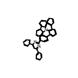 c1ccc(-c2cc(-c3ccccc3)nc(-c3ccc(-c4cccc(-c5ccccc5)c4-n4c5ccccc5c5ccccc54)cc3)n2)cc1